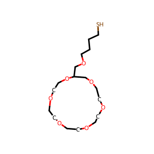 SCCCCOCC1COCCOCCOCCOCCOCCO1